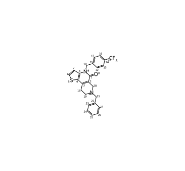 O=c1c2c(c3sccc3n1Cc1ccc(C(F)(F)F)cc1)CCN(Cc1ccccc1)C2